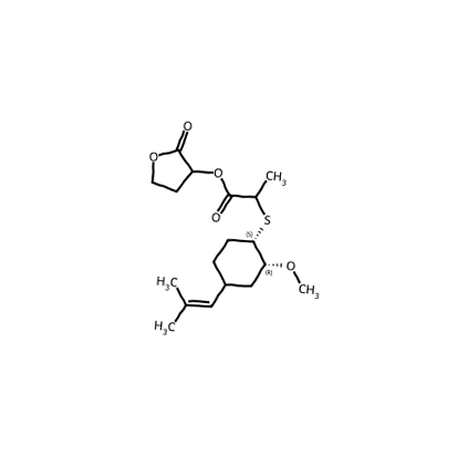 CO[C@@H]1CC(C=C(C)C)CC[C@@H]1SC(C)C(=O)OC1CCOC1=O